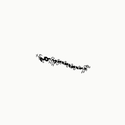 Cc1ncsc1-c1ccc(CNC(=O)C2CC(OC(=O)COCCOCCOCCOCCOCCOCCNC(=O)OC(C)(C)C)CN2)cc1